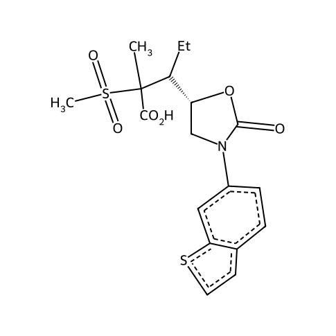 CCC([C@H]1CN(c2ccc3ccsc3c2)C(=O)O1)C(C)(C(=O)O)S(C)(=O)=O